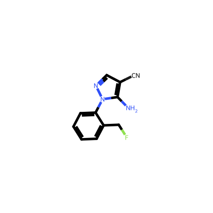 N#Cc1cnn(-c2ccccc2CF)c1N